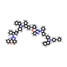 c1ccc(-c2ccc(-n3c4ccc(-c5ccc6c(c5)c5ccccc5n6-c5nc6c7c(cccc7n5)Oc5c(-c7ccc8cc(-n9c%10ccc(-c%11ccc%12c(c%11)c%11ccccc%11n%12-c%11nc%12c%13c(cccc%13n%11)Oc%11ccccc%11-%12)cc%10c%10c%11ccccc%11ccc%109)c9ccccc9c8c7)cccc5-6)cc4c4c5ccccc5ccc43)cc2)cc1